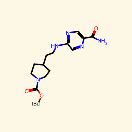 CC(C)(C)OC(=O)N1CCC(CCNc2cnc(C(N)=O)cn2)CC1